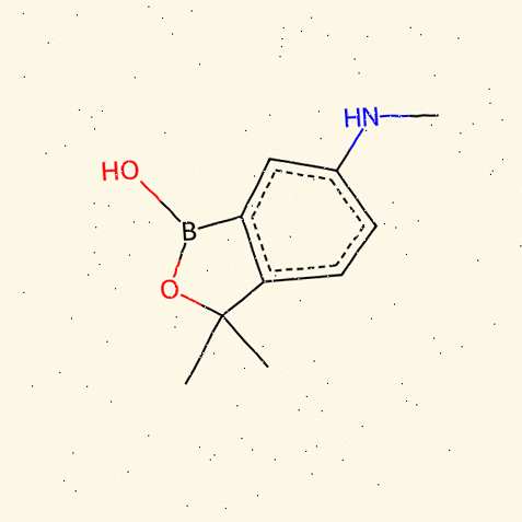 CNc1ccc2c(c1)B(O)OC2(C)C